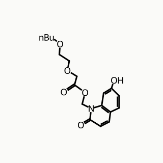 CCCCOCCOCC(=O)OCn1c(=O)ccc2ccc(O)cc21